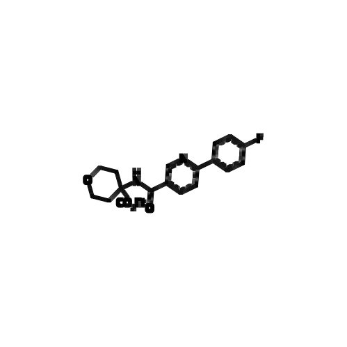 CCOC(=O)C1(NC(=O)c2ccc(-c3ccc(F)cc3)nc2)CCOCC1